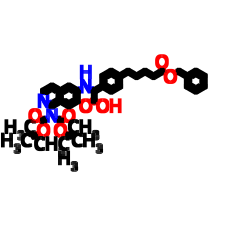 CC(C)(C)OC(=O)N(C(=O)OC(C)(C)C)c1nccc2cc(NC(C(=O)O)c3ccc(CCCCC(=O)OCc4ccccc4)cc3)ccc12